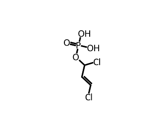 O=P(O)(O)OC(Cl)C=CCl